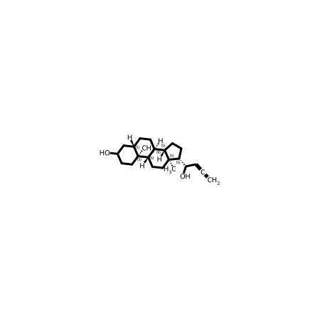 C=C=CC(O)[C@H]1CC[C@H]2[C@@H]3CC[C@H]4CC(O)CC[C@]4(C)[C@H]3CC[C@]12C